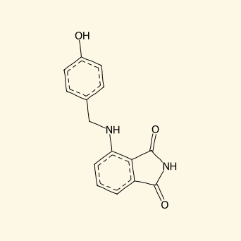 O=C1NC(=O)c2c(NCc3ccc(O)cc3)cccc21